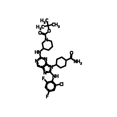 CC(C)(C)OC(=O)N1CCCC(Nc2ncc3nc(Nc4c(F)cc(F)cc4Cl)n(C4CCC(C(N)=O)CC4)c3n2)C1